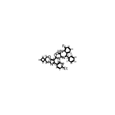 CCc1ccc(-c2nn3c(c2C(=O)N[C@H]2N=C(c4ccccc4)c4cccc(F)c4NC2=O)OCC2(CCC2)C3)cn1